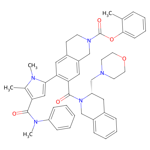 Cc1ccccc1OC(=O)N1CCc2cc(-c3cc(C(=O)N(C)c4ccccc4)c(C)n3C)c(C(=O)N3Cc4ccccc4C[C@H]3CN3CCOCC3)cc2C1